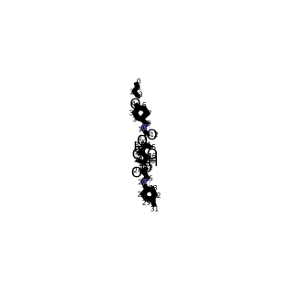 CCCCOc1ccc(/C=C/C(=O)O[C@@H]2CO[C@H]3[C@@H]2OC[C@H]3OC(=O)/C=C/c2ccc(C)cc2)cc1